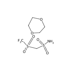 C1COCCO1.NS(=O)(=O)CS(=O)(=O)C(F)(F)F